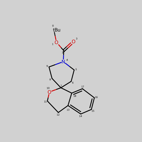 CC(C)(C)OC(=O)N1CCC2(CC1)OCCc1ccccc12